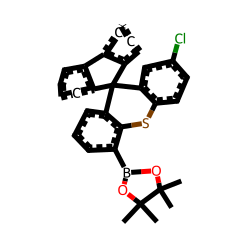 CC1(C)OB(c2cccc3c2Sc2ccc(Cl)cc2C32c3ccccc3-c3ccccc32)OC1(C)C